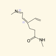 C=C/C(=C\C=N/C)CCC(=O)NC